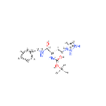 CC(C)(C)OC(=O)N[C@@H](CCN1C=CNN1)C(=O)NCc1ccccc1